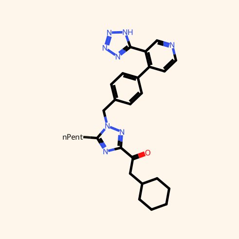 CCCCCc1nc(C(=O)CC2CCCCC2)nn1Cc1ccc(-c2ccncc2-c2nnn[nH]2)cc1